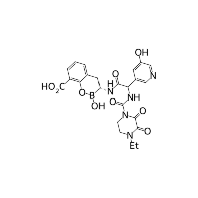 CCN1CCN(C(=O)NC(C(=O)N[C@H]2Cc3cccc(C(=O)O)c3OB2O)c2cncc(O)c2)C(=O)C1=O